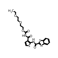 CCOCCOCCOC(=O)NC(=O)c1ccsc1NC(=O)c1nc2ccccc2s1